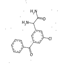 NC(=O)C(N)c1cc(Cl)cc(C(=O)c2ccccc2)c1